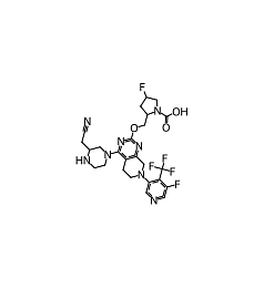 N#CCC1CN(c2nc(OCC3CC(F)CN3C(=O)O)nc3c2CCN(c2cncc(F)c2C(F)(F)F)C3)CCN1